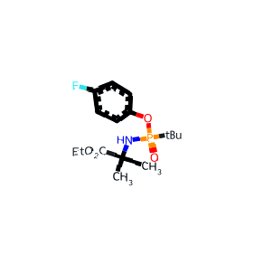 CCOC(=O)C(C)(C)NP(=O)(Oc1ccc(F)cc1)C(C)(C)C